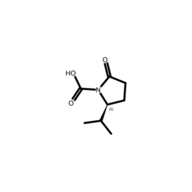 CC(C)[C@@H]1CCC(=O)N1C(=O)O